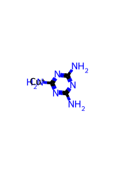 Nc1nc(N)nc(N)n1.[Cu+]